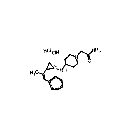 CC(=Cc1ccccc1)C1C[C@@H]1NC1CCN(CC(N)=O)CC1.Cl.Cl